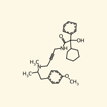 COc1ccc(CC(C)N(C)CC#CCNC(=O)C(O)(c2ccccc2)C2CCCCC2)cc1